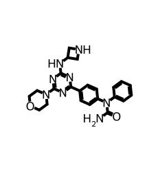 NC(=O)N(c1ccccc1)c1ccc(-c2nc(NC3CNC3)nc(N3CCOCC3)n2)cc1